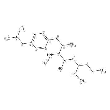 CCCC(OC(O)C(NC)C(C)Sc1ccc(CN(C)C)cc1)SC